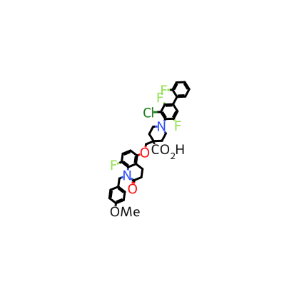 COc1ccc(CN2C(=O)CCc3c(OCC4(C(=O)O)CCN(c5c(F)cc(-c6ccccc6F)c(F)c5Cl)CC4)ccc(F)c32)cc1